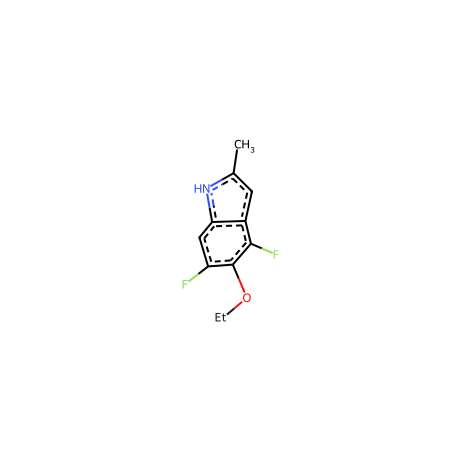 CCOc1c(F)cc2[nH]c(C)cc2c1F